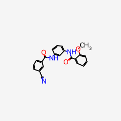 COc1ccccc1C(=O)Nc1cccc(NC(=O)c2cccc(C#N)c2)c1